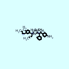 C=C=C/C(=C(/C)N/C(=C(/C(=C)c1ccc(N)cc1)c1ccccc1)N(C)C)c1ccc(C)c(/C=C\C=C)c1